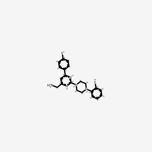 NCc1cc(-c2ccc(F)cc2)nc(N2CCN(c3ccccc3F)CC2)n1